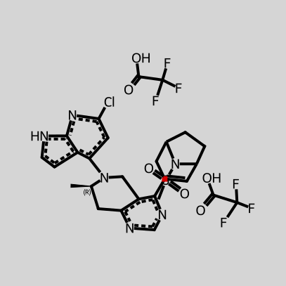 C[C@@H]1Cc2ncnc(C3=CC4CCC(C3)N4S(C)(=O)=O)c2CN1c1cc(Cl)nc2[nH]ccc12.O=C(O)C(F)(F)F.O=C(O)C(F)(F)F